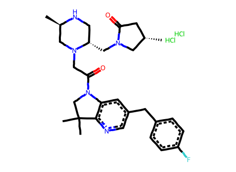 C[C@H]1CC(=O)N(C[C@H]2CN[C@H](C)CN2CC(=O)N2CC(C)(C)c3ncc(Cc4ccc(F)cc4)cc32)C1.Cl.Cl